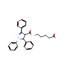 COC(=O)CCCCNC(=O)C1C(c2ccccc2)=NN(c2ccccc2)C1c1ccccc1